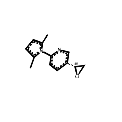 Cc1ccc(C)n1-c1ccc([C@@H]2CO2)cn1